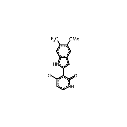 COc1cc2cc(-c3c(Cl)cc[nH]c3=O)[nH]c2cc1C(F)(F)F